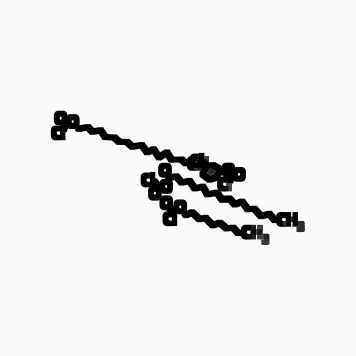 CCCCCCCCC=CCCCCCCCC(=O)OC(=O)Cl.CCCCCCCCCCCCCCCCCCOC(=O)Cl.CCCCCCCCCCOC(=O)Cl.O=C(Cl)OC1CCCC(Cl)C1